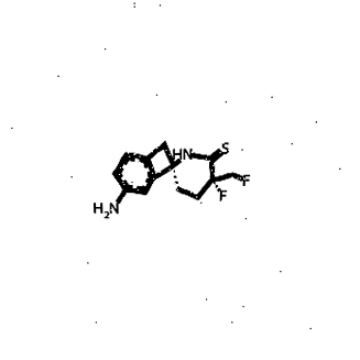 Nc1ccc2c(c1)[C@@]1(CC[C@](F)(CF)C(=S)N1)C2